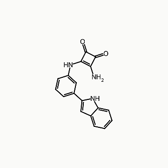 Nc1c(Nc2cccc(-c3cc4ccccc4[nH]3)c2)c(=O)c1=O